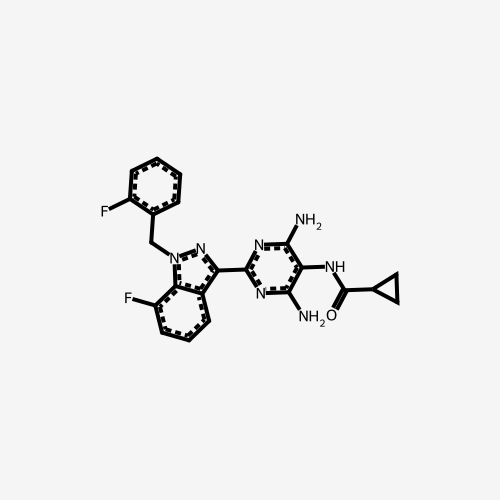 Nc1nc(-c2nn(Cc3ccccc3F)c3c(F)cccc23)nc(N)c1NC(=O)C1CC1